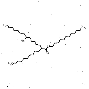 CCCCCCCCCCCCOC(=O)C(CCCCCCCCCC)CCCCCC(O)CCCCCCC